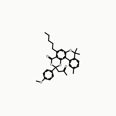 CCCCCc1cc2c(c3c1C(=O)OC(CC(C)=O)(c1ccc(OC)cc1)O3)-c1cc(C)ccc1C(C)(C)O2